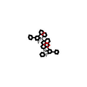 Fc1cc(-c2ccccc2)cc(-c2ccccc2)c1N(c1ccccc1)c1cc2ccc(N(c3ccccc3)c3c(F)cc(-c4ccccc4)cc3-c3ccccc3)c3ccc4cccc1c4c23